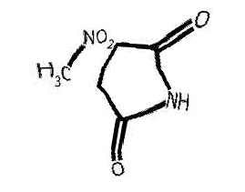 C[N+](=O)[O-].O=C1CCC(=O)N1